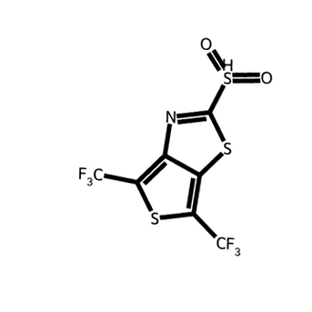 O=[SH](=O)c1nc2c(C(F)(F)F)sc(C(F)(F)F)c2s1